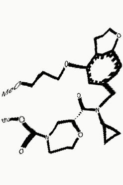 COCCCOc1cc(CN(C(=O)[C@H]2CN(C(=O)OC(C)(C)C)CCO2)C2CC2)cc2c1CCO2